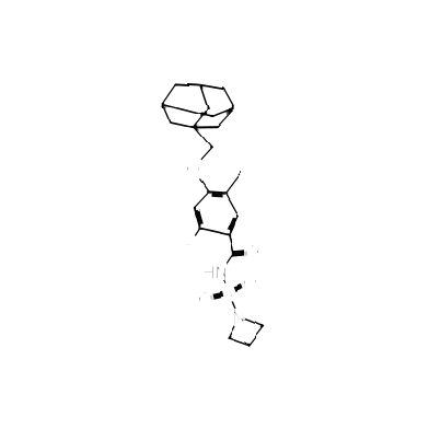 Cc1cc(C(=O)NS(=O)(=O)N2CCC2)c(F)cc1OCC12CC3CC(CC(C3)C1)C2